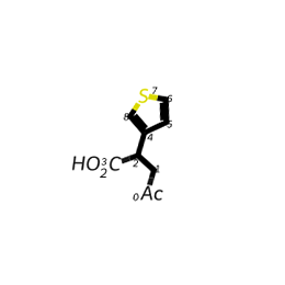 CC(=O)CC(C(=O)O)c1ccsc1